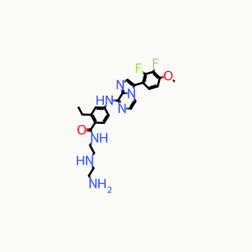 CCc1cc(Nc2nccn3c(-c4ccc(OC)c(F)c4F)cnc23)ccc1C(=O)NCCNCCN